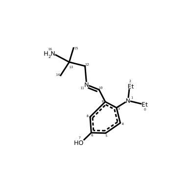 CCN(CC)c1ccc(O)cc1C=NCC(C)(C)N